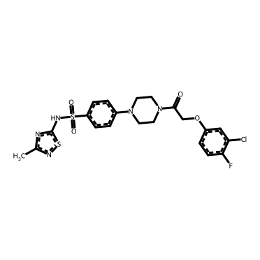 Cc1nsc(NS(=O)(=O)c2ccc(N3CCN(C(=O)COc4ccc(F)c(Cl)c4)CC3)cc2)n1